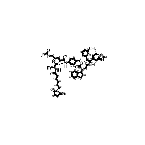 Cc1cccc(-c2nc(CN(C(=O)OCc3ccc(NC(=O)C(CCCNC(N)=O)NC(=O)C(NC(=O)CCCCCN4C(=O)C=CC4=O)C(C)C)cc3)[C@H]3CCc4ccccc43)[nH]c2-c2ccn3ncnc3c2)n1